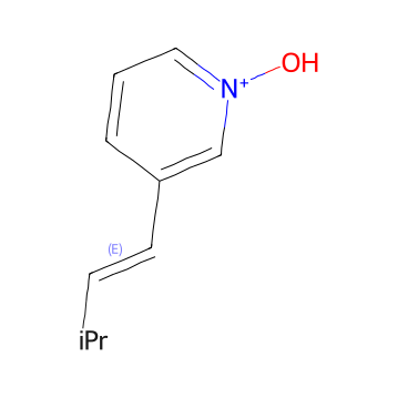 CC(C)/C=C/c1ccc[n+](O)c1